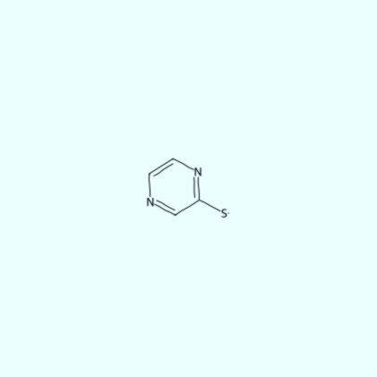 [S]c1cnccn1